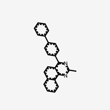 Cc1nc(-c2ccc(-c3ccccc3)cc2)c2ccc3ccccc3c2n1